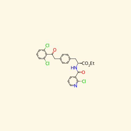 CCOC(=O)[C@H](Cc1ccc(CC(=O)c2c(Cl)cccc2Cl)cc1)NC(=O)c1cccnc1Cl